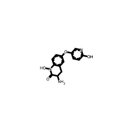 NC1Cc2cc(Oc3ccc(O)nc3)ccc2N(O)C1=O